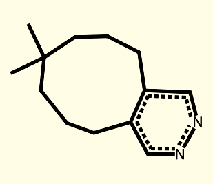 CC1(C)CCCc2cnncc2CCC1